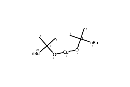 CCCCC(C)(C)[O][Cu][O]C(C)(C)CCCC